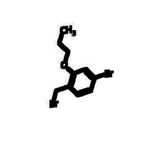 CCCOc1cc(Br)ccc1CBr